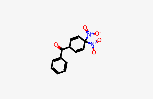 O=C(c1ccccc1)C1C=CC([N+](=O)[O-])([N+](=O)[O-])C=C1